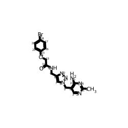 Cc1ncc(Cn2cc(CNC(=O)COc3ccc(Br)cc3)nn2)c(N)n1